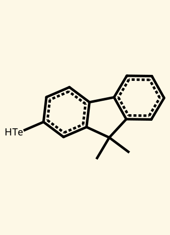 CC1(C)c2ccccc2-c2ccc([TeH])cc21